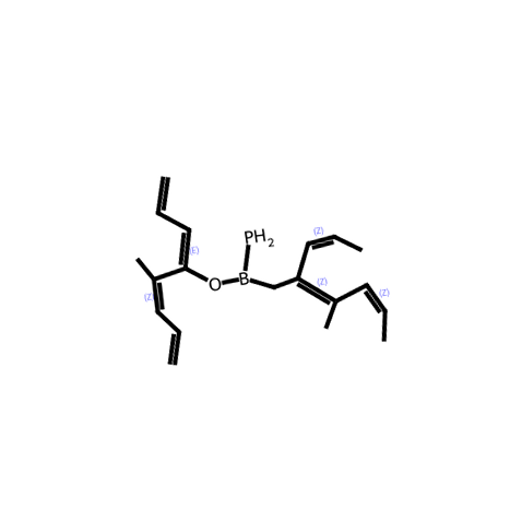 C=C/C=C(C)\C(=C/C=C)OB(P)CC(/C=C\C)=C(C)/C=C\C